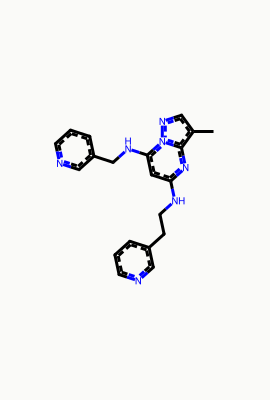 Cc1cnn2c(NCc3cccnc3)cc(NCCc3cccnc3)nc12